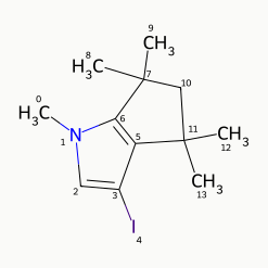 Cn1cc(I)c2c1C(C)(C)CC2(C)C